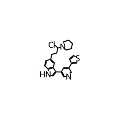 ClC(CCc1ccc2[nH]cc(-c3cncc(-c4ccsc4)c3)c2c1)N1CCCCC1